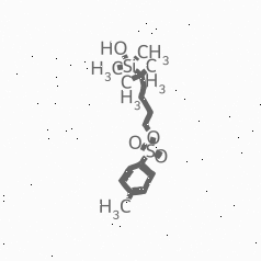 Cc1ccc(S(=O)(=O)OCCCCC(C)(C)[Si](C)(C)O)cc1